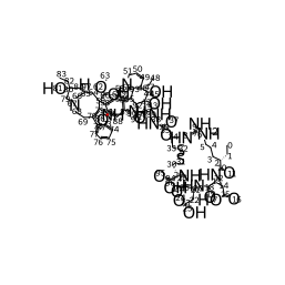 CC[C@@H](CCCNC(=N)N)C(=O)N[C@@H](CC(=O)O)C(=O)N[C@@H](CC(=O)O)C(=O)N[C@@H](CSSCCOC(=O)NNC(=O)[C@@]1(O)[C@H](O)[C@]2(CC)C=CCN3CC[C@@]4(c5cc([C@@]6(C(=O)OC)C[C@@H]7CN(CCc8c6[nH]c6ccccc86)C[C@](O)(CC)C7)c(OC)cc5N(C)[C@@H]14)[C@@H]32)C(=O)O